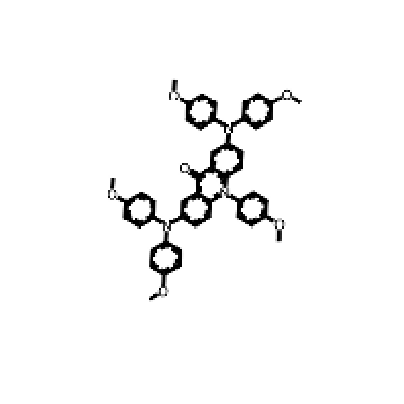 COc1ccc(N(c2ccc(OC)cc2)c2ccc3c(c2)c(=O)c2cc(N(c4ccc(OC)cc4)c4ccc(OC)cc4)ccc2n3-c2ccc(OC)cc2)cc1